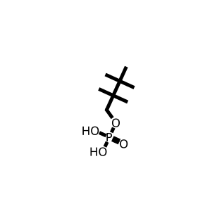 CC(C)(C)C(C)(C)COP(=O)(O)O